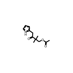 CC(=O)OCC(C)(C)C(=O)Cc1ccc[nH]1